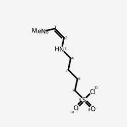 CN/C=C\NCCCCS(=O)(=O)Cl